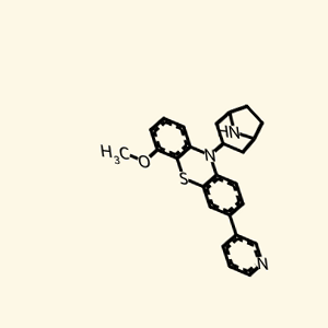 COc1cccc2c1Sc1cc(-c3cccnc3)ccc1N2C1CC2CCC(C1)N2